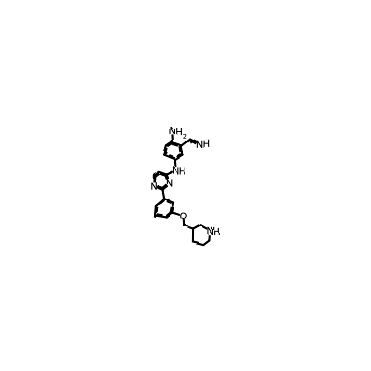 N=Cc1cc(Nc2ccnc(-c3cccc(OCC4CCCNC4)c3)n2)ccc1N